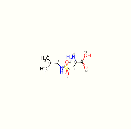 CC(C)CNS(=O)(=O)CC(N)C(=O)O